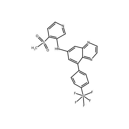 CS(=O)(=O)c1ccncc1Nc1cc(-c2ccc(S(F)(F)(F)(F)F)cc2)c2nccnc2c1